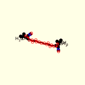 CC1(C)c2ccccc2-c2c1c1c(c3ccccc23)OC(c2ccc(OCCOC(=O)CCC(=O)OCCOCCOCCOCCOC(=O)CCC(=O)OCCOc3ccc(C4(c5ccc(N6CCOCC6)cc5)C=Cc5c6c(c7ccccc7c5O4)-c4ccccc4C6(C)C)cc3)cc2)(c2ccc(N3CCOCC3)cc2)C=C1